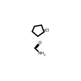 C1CCCC1.Cl.NC=O